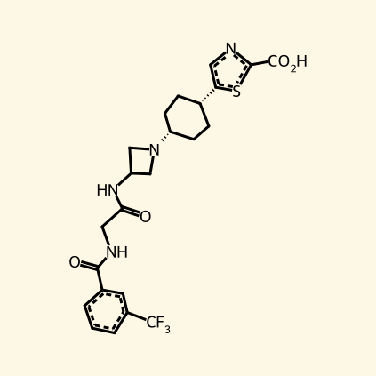 O=C(CNC(=O)c1cccc(C(F)(F)F)c1)NC1CN([C@H]2CC[C@@H](c3cnc(C(=O)O)s3)CC2)C1